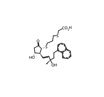 C[C@@](O)(/C=C/[C@H]1[C@H](O)CC(=O)[C@@H]1SCCCSCC(=O)O)CCc1cccc2ccccc12